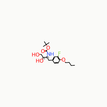 CCCCOc1ccc(C[C@H](NC(=O)OC(C)(C)C)[C@H](O)CO)cc1F